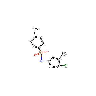 CNc1ccc(S(=O)(=O)Nc2ccc(Cl)c([N+](=O)[O-])c2)cc1